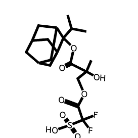 CC(C)C1(OC(=O)C(C)(O)COC(=O)C(F)(F)S(=O)(=O)O)C2CC3CC(C2)CC1C3